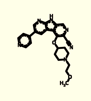 COCCN1CCC(Oc2c(C#N)ncc3[nH]c4ncc(-c5ccncc5)cc4c23)CC1